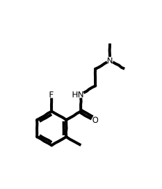 Cc1cccc(F)c1C(=O)NCCN(C)C